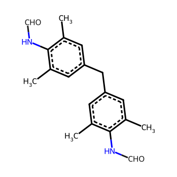 Cc1cc(Cc2cc(C)c(NC=O)c(C)c2)cc(C)c1NC=O